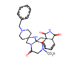 O=C1NC(=O)C2(CC34CN(C(=O)O)CC(=O)N3CC3(CCN(Cc5ccccc5)CC3)N4)C=CC=CC12